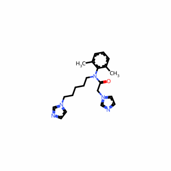 Cc1cccc(C)c1N(CCCCCn1ccnc1)C(=O)Cn1ccnc1